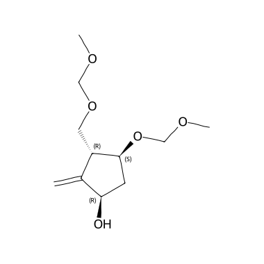 C=C1[C@H](O)C[C@H](OCOC)[C@H]1COCOC